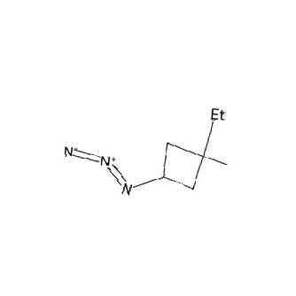 CCC1(C)CC(N=[N+]=[N-])C1